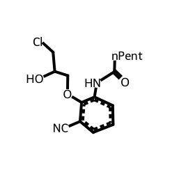 CCCCCC(=O)Nc1cccc(C#N)c1OCC(O)CCl